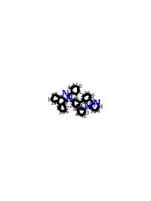 c1ccc(-c2nc3c4ccccc4c4ccccc4c3n2-c2cccc(-c3cccc4c5ncccc5n(-c5ccccc5)c34)c2)cc1